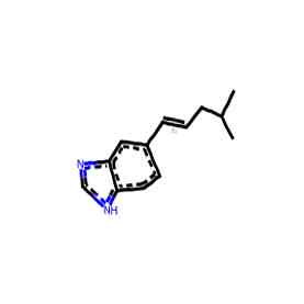 CC(C)C/C=C/c1ccc2[nH]cnc2c1